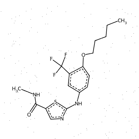 CCCCCOc1ccc(Nc2ncc(C(=O)NC)s2)cc1C(F)(F)F